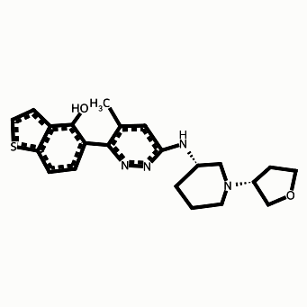 Cc1cc(N[C@H]2CCCN([C@@H]3CCOC3)C2)nnc1-c1ccc2sccc2c1O